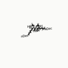 CCCCCCCCCCCCCCCC(=O)N(CC(C)O)C(C(C)O)N(CC(C)O)C(=O)CCCCCCCCCCCCCCC